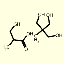 CC(CO)(CO)CO.CC(CS)C(=O)O